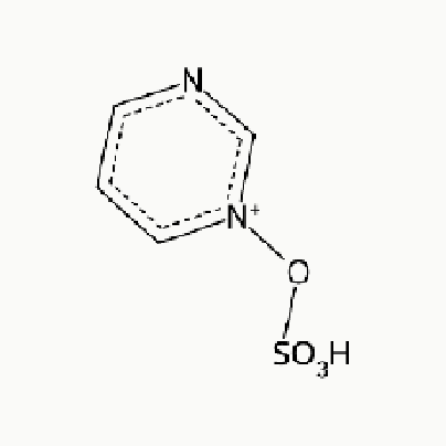 O=S(=O)(O)O[n+]1cccnc1